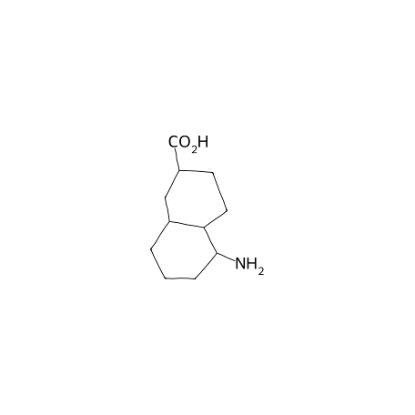 NC1CCCC2CC(C(=O)O)CCC12